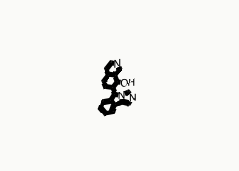 OC1c2cnccc2CCC1C1c2ccccc2-c2cncn21